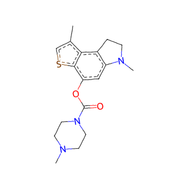 Cc1csc2c(OC(=O)N3CCN(C)CC3)cc3c(c12)CCN3C